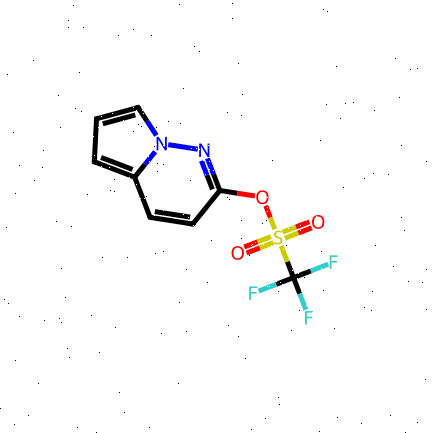 O=S(=O)(Oc1ccc2cccn2n1)C(F)(F)F